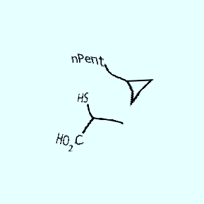 CC(S)C(=O)O.CCCCCC1CC1